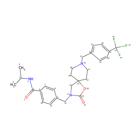 CC(C)NC(=O)c1ccc(CN2CC3(CCN(Cc4ccc(C(F)(F)F)cc4)CC3)OC2=O)cc1